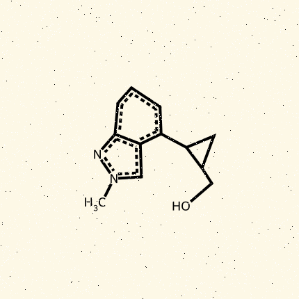 Cn1cc2c(C3CC3CO)cccc2n1